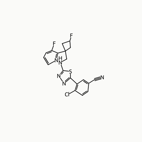 N#Cc1ccc(Cl)c(-c2nnc(NCC3(c4ncccc4F)CC(F)C3)s2)c1